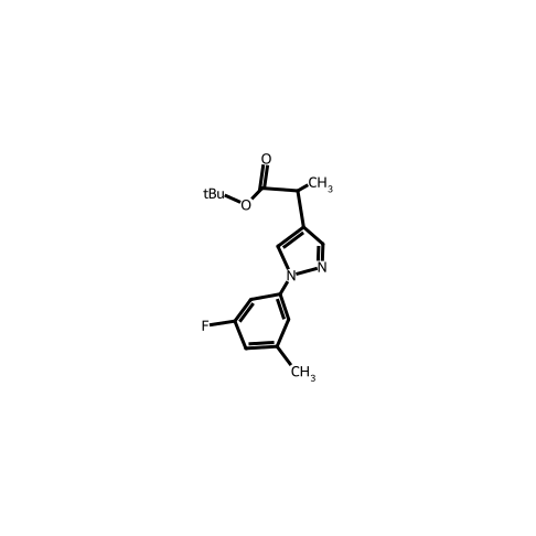 Cc1cc(F)cc(-n2cc(C(C)C(=O)OC(C)(C)C)cn2)c1